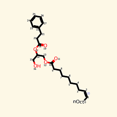 CCCCCCCC/C=C\CCCCCCCC(=O)OCC(CO)OC(=O)CCc1ccccc1